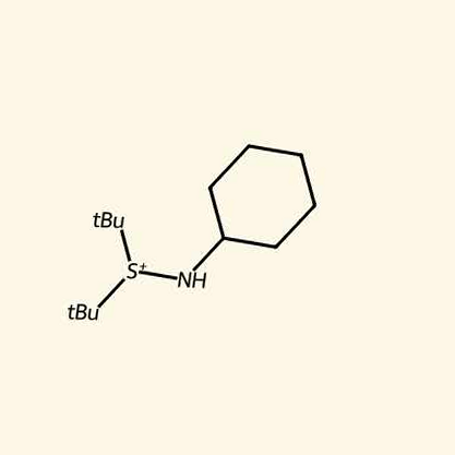 CC(C)(C)[S+](NC1CCCCC1)C(C)(C)C